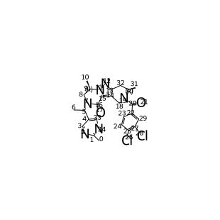 Cc1ncc(C(C)N2C[C@@H](C)n3nc4c(c3C2=O)CN(C(=O)c2ccc(Cl)c(Cl)c2)[C@H](C)C4)cn1